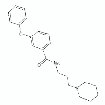 O=C(NCCCN1CCCCC1)c1cccc(Oc2ccccc2)c1